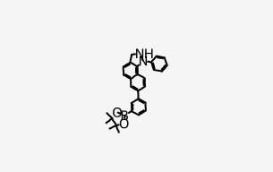 CC1(C)OB(c2cccc(-c3ccc4c5c(ccc4c3)CNN5c3ccccc3)c2)OC1(C)C